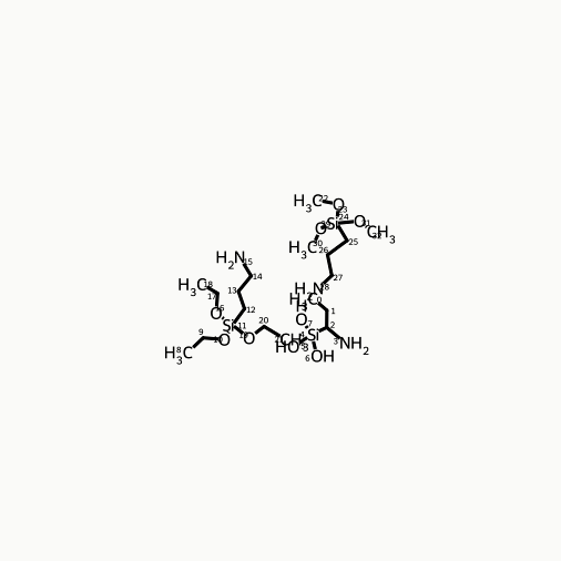 CCC(N)[Si](O)(O)O.CCO[Si](CCCN)(OCC)OCC.CO[Si](CCCN)(OC)OC